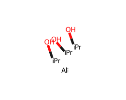 CC(C)O.CC(C)O.CC(C)O.[Al]